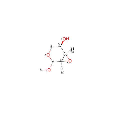 CO[C@@H]1OC[C@@H](O)[C@H]2O[C@@H]12